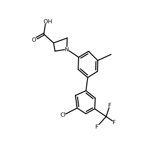 Cc1cc(-c2cc(Cl)cc(C(F)(F)F)c2)cc(N2CC(C(=O)O)C2)c1